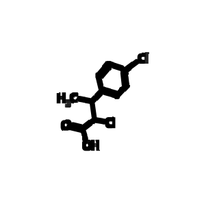 CC(c1ccc(Cl)cc1)C(Cl)C(=O)O